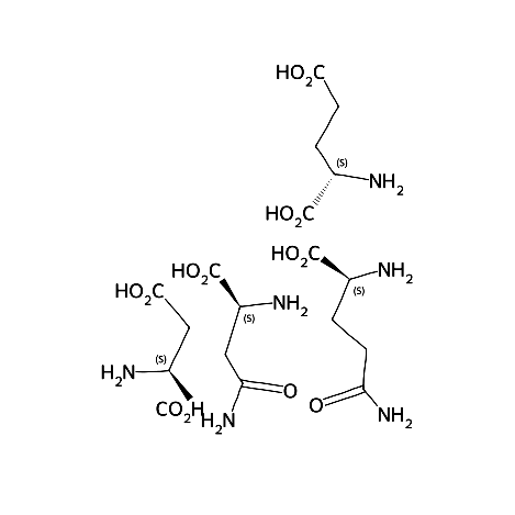 NC(=O)CC[C@H](N)C(=O)O.NC(=O)C[C@H](N)C(=O)O.N[C@@H](CC(=O)O)C(=O)O.N[C@@H](CCC(=O)O)C(=O)O